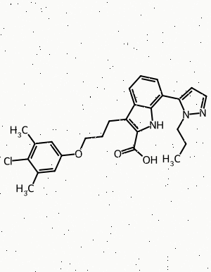 CCCn1nccc1-c1cccc2c(CCCOc3cc(C)c(Cl)c(C)c3)c(C(=O)O)[nH]c12